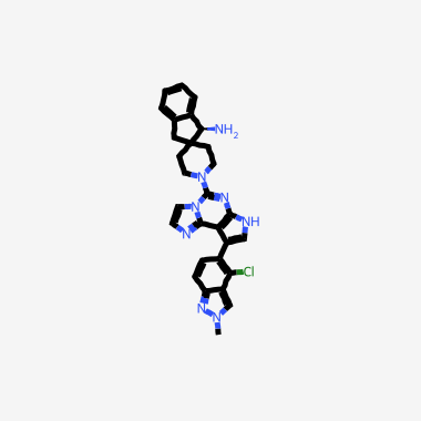 Cn1cc2c(Cl)c(-c3c[nH]c4nc(N5CCC6(CC5)Cc5ccccc5[C@H]6N)n5ccnc5c34)ccc2n1